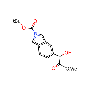 COC(=O)C(O)c1ccc2cn(C(=O)OC(C)(C)C)cc2c1